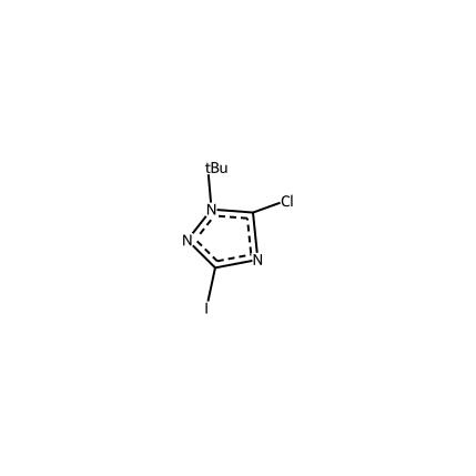 CC(C)(C)n1nc(I)nc1Cl